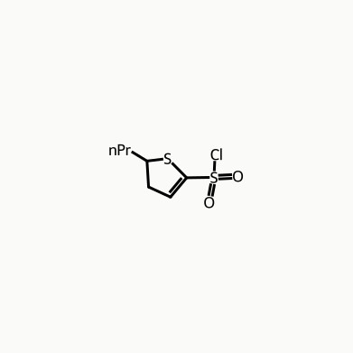 CCCC1CC=C(S(=O)(=O)Cl)S1